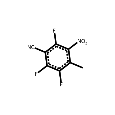 Cc1c(F)c(F)c(C#N)c(F)c1[N+](=O)[O-]